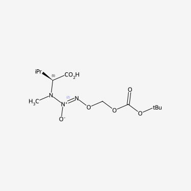 CC(C)[C@@H](C(=O)O)N(C)/[N+]([O-])=N/OCOC(=O)OC(C)(C)C